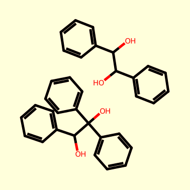 OC(c1ccccc1)C(O)(c1ccccc1)c1ccccc1.OC(c1ccccc1)C(O)c1ccccc1